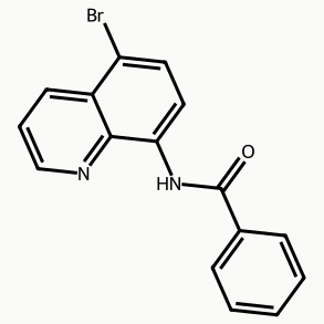 O=C(Nc1ccc(Br)c2cccnc12)c1ccccc1